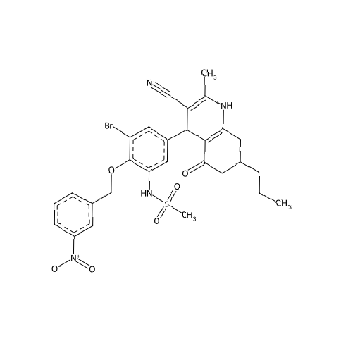 CCCC1CC(=O)C2=C(C1)NC(C)=C(C#N)C2c1cc(Br)c(OCc2cccc([N+](=O)[O-])c2)c(NS(C)(=O)=O)c1